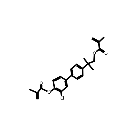 C=C(C)C(=O)OCC(C)(C)c1ccc(-c2ccc(OC(=O)C(=C)C)c(Cl)c2)cc1